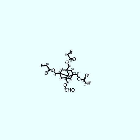 O=COCC12CC3(COC(=O)CF)CC(COC(=O)CF)(C1)CC(COC(=O)CF)(C2)C3